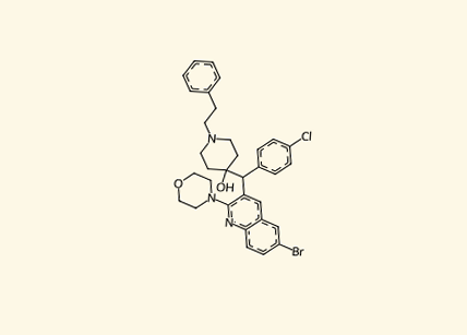 OC1(C(c2ccc(Cl)cc2)c2cc3cc(Br)ccc3nc2N2CCOCC2)CCN(CCc2ccccc2)CC1